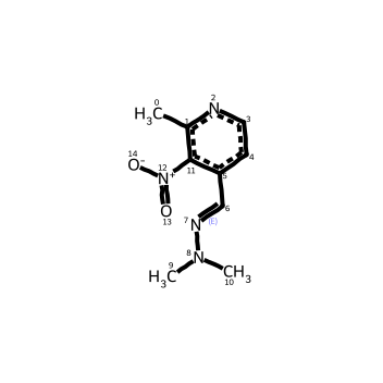 Cc1nccc(/C=N/N(C)C)c1[N+](=O)[O-]